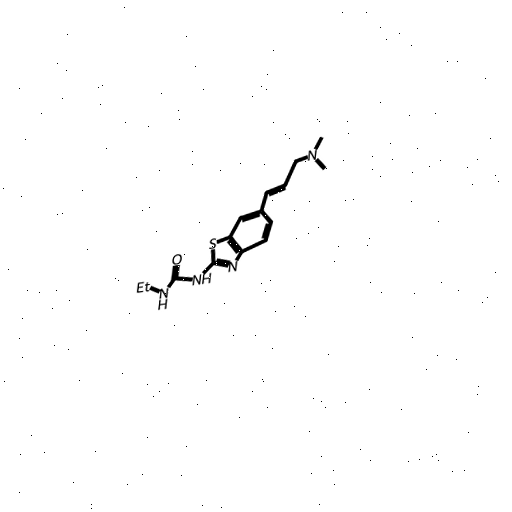 CCNC(=O)Nc1nc2ccc(C=CCN(C)C)cc2s1